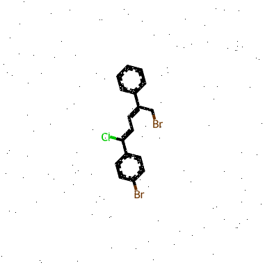 ClC(=CC=C(CBr)c1ccccc1)c1ccc(Br)cc1